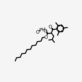 CCCCCCCCCCCCOC(=O)C(CC(C)C)C(=O)c1c(C)cc(C)cc1C.O=[PH3]